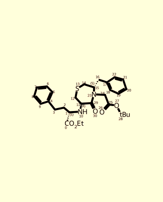 CCOC(=O)[C@H](CCc1ccccc1)N[C@H]1CSC[C@H](Cc2ccccc2)N(CC(=O)OC(C)(C)C)C1=O